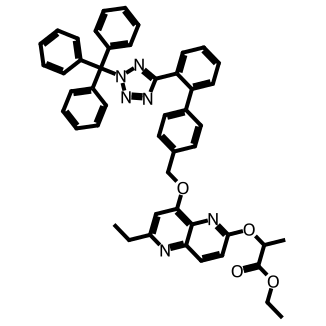 CCOC(=O)C(C)Oc1ccc2nc(CC)cc(OCc3ccc(-c4ccccc4-c4nnn(C(c5ccccc5)(c5ccccc5)c5ccccc5)n4)cc3)c2n1